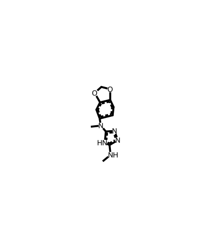 CNc1nnc(N(C)c2ccc3c(c2)OCO3)[nH]1